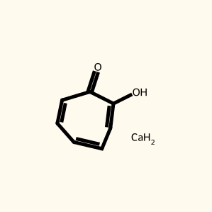 O=c1cccccc1O.[CaH2]